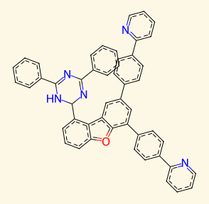 c1ccc(C2=NC(c3cccc4oc5c(-c6ccc(-c7ccccn7)cc6)cc(-c6ccc(-c7ccccn7)cc6)cc5c34)NC(c3ccccc3)=N2)cc1